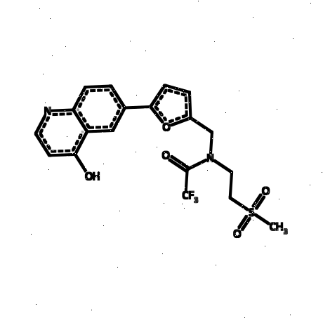 CS(=O)(=O)CCN(Cc1ccc(-c2ccc3nccc(O)c3c2)o1)C(=O)C(F)(F)F